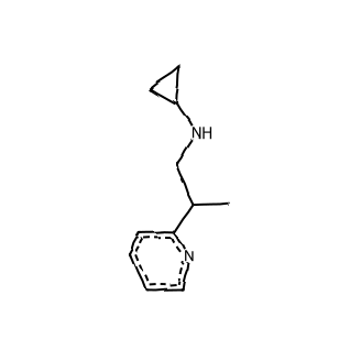 CC(CNC1CC1)c1ccccn1